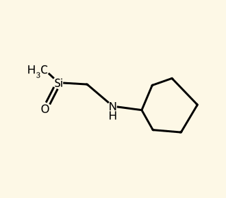 C[Si](=O)CNC1CCCCC1